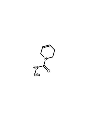 CC(C)(C)NC(=O)N1CC=CCC1